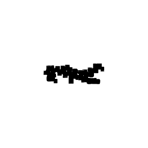 COc1cc(CC(=O)Nc2cccc(CCc3cccc(C)c3)c2)ccc1OCCN